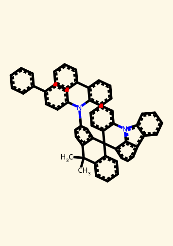 CC1(C)c2ccccc2C2(c3ccccc3-n3c4ccccc4c4cccc2c43)c2cc(N(c3ccc(-c4ccccc4)cc3)c3ccccc3-c3ccccc3)ccc21